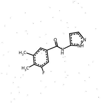 Cc1cc(C(=O)Nc2ccn[nH]2)cc(F)c1C